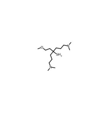 COCCC([SiH3])(CCCN(C)C)CCCN(C)C